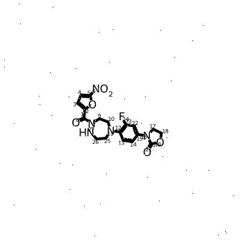 O=C(c1ccc([N+](=O)[O-])o1)N1CCN(c2ccc(N3CCOC3=O)cc2F)CCN1